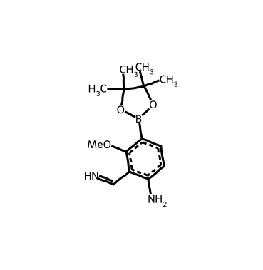 COc1c(B2OC(C)(C)C(C)(C)O2)ccc(N)c1C=N